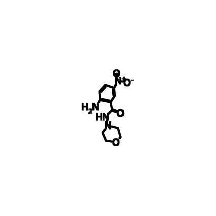 Nc1ccc([N+](=O)[O-])cc1C(=O)NN1CCOCC1